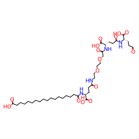 O=CCC[C@H](NC(=O)CC[C@H](NC(=O)COCCOCCNC(=O)CC[C@H](NC(=O)CCCCCCCCCCCCCCCCC(=O)O)C(=O)O)C(=O)O)C(=O)O